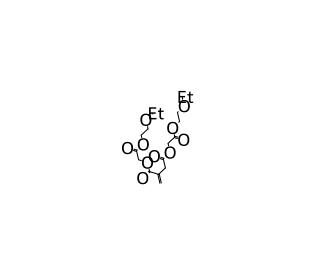 C=C(CC(=O)OCC(=O)OCCOCC)C(=O)OCC(=O)OCCOCC